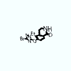 CCn1nc(Br)nc1Oc1ccc2c(c1)CCNC2=O